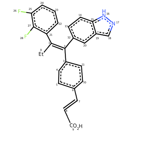 CCC(=C(c1ccc(C=CC(=O)O)cc1)c1ccc2[nH]ncc2c1)c1cccc(F)c1F